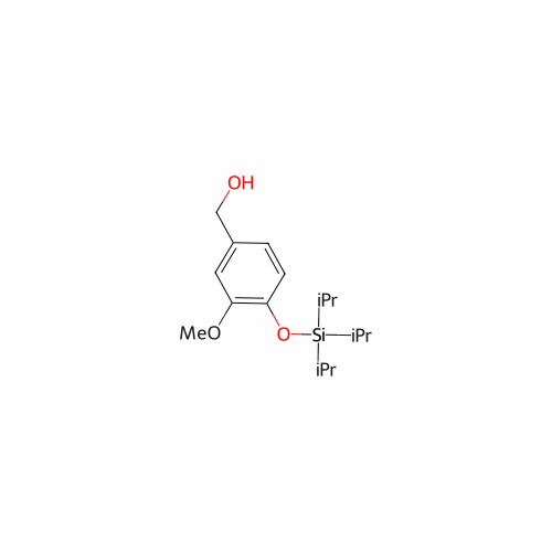 COc1cc(CO)ccc1O[Si](C(C)C)(C(C)C)C(C)C